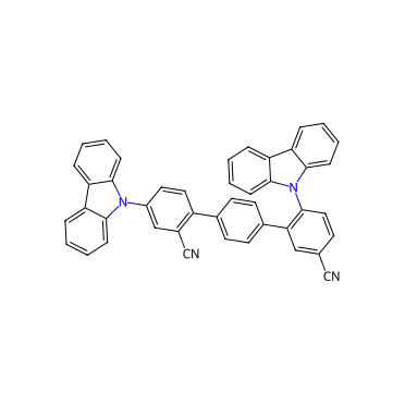 N#Cc1ccc(-n2c3ccccc3c3ccccc32)c(-c2ccc(-c3ccc(-n4c5ccccc5c5ccccc54)cc3C#N)cc2)c1